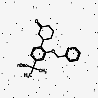 CCCCCCCCCCC(C)(C)c1ccc(C2CCCC(=O)C2)c(OCc2ccccc2)c1